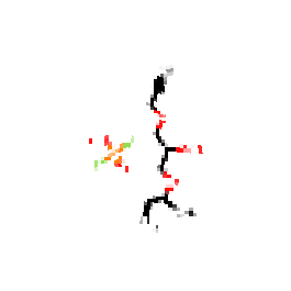 C#CCOCC(O)COC(C)C=C.O=P(O)(F)F